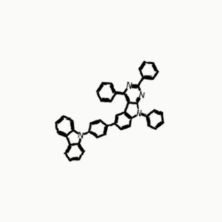 c1ccc(-c2nc(-c3ccccc3)c3c4cc(-c5ccc(-n6c7ccccc7c7ccccc76)cc5)ccc4n(-c4ccccc4)c3n2)cc1